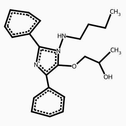 CCCCNn1c(-c2ccccc2)nc(-c2ccccc2)c1OCC(C)O